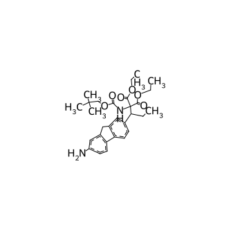 CCOC(=O)C(NC(=O)OCC(C)(C)C)(C(=O)OCC)C(CC)c1ccc2c(c1)Cc1cc(N)ccc1-2